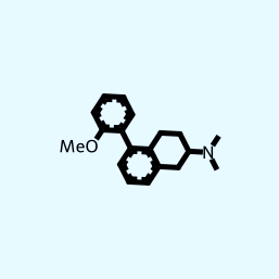 COc1ccccc1-c1cccc2c1CCC(N(C)C)C2